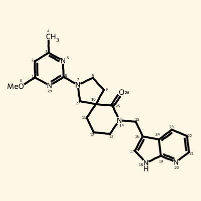 COc1cc(C)nc(N2CCC3(CCCN(Cc4c[nH]c5ncccc45)C3=O)C2)n1